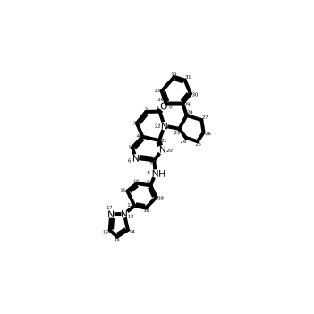 O=c1ccc2cnc(Nc3ccc(-n4cccn4)cc3)nc2n1C1CCCCC1c1ccccc1